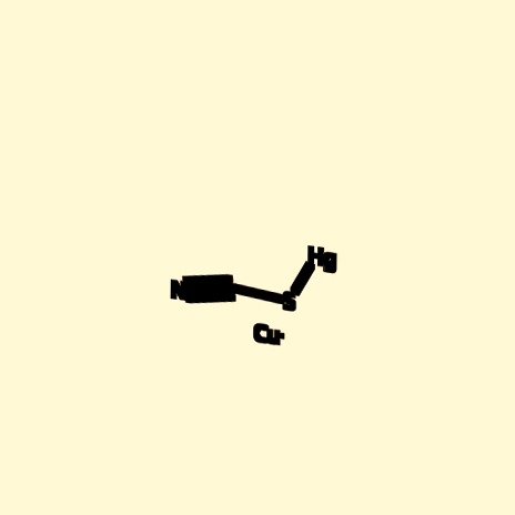 N#C[S][Hg].[Cu]